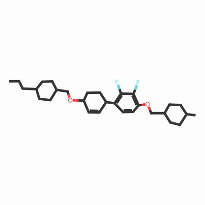 CCCC1CCC(COC2C=CC(c3ccc(OCC4CCC(C)CC4)c(F)c3F)CC2)CC1